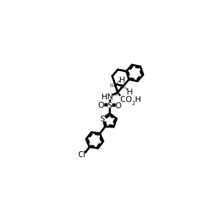 O=C(O)[C@]1(NS(=O)(=O)c2ccc(-c3ccc(Cl)cc3)s2)[C@@H]2c3ccccc3CC[C@@H]21